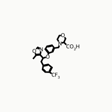 Cc1ocnc1C(Cc1ccc(C(F)(F)F)cc1)Oc1cccc(CN2CCOCC2C(=O)O)c1